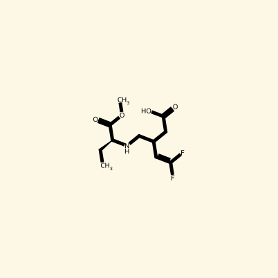 CC[C@H](NCC(C=C(F)F)CC(=O)O)C(=O)OC